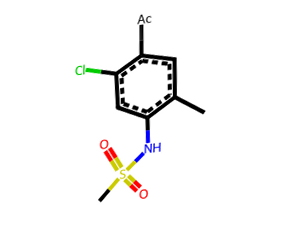 CC(=O)c1cc(C)c(NS(C)(=O)=O)cc1Cl